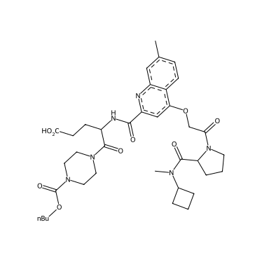 CCCCOC(=O)N1CCN(C(=O)C(CCC(=O)O)NC(=O)c2cc(OCC(=O)N3CCCC3C(=O)N(C)C3CCC3)c3ccc(C)cc3n2)CC1